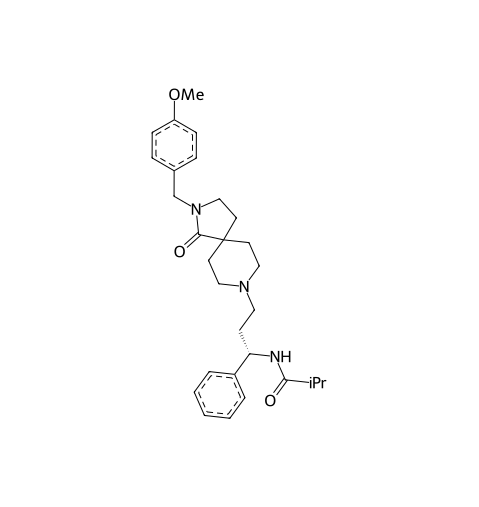 COc1ccc(CN2CCC3(CCN(CC[C@H](NC(=O)C(C)C)c4ccccc4)CC3)C2=O)cc1